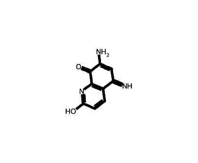 N=C1C=C(N)C(=O)c2nc(O)ccc21